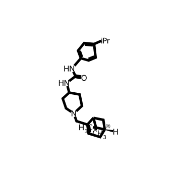 CC(C)c1ccc(NC(=O)NC2CCN(CC3=CC[C@H]4CC3C4(C)C)CC2)cc1